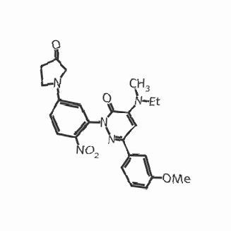 CCN(C)c1cc(-c2cccc(OC)c2)nn(-c2cc(N3CCC(=O)C3)ccc2[N+](=O)[O-])c1=O